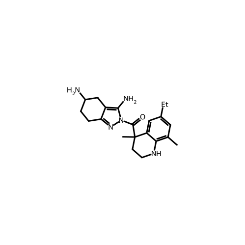 CCc1cc(C)c2c(c1)C(C)(C(=O)n1nc3c(c1N)CC(N)CC3)CCN2